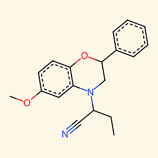 CCC(C#N)N1CC(c2ccccc2)Oc2ccc(OC)cc21